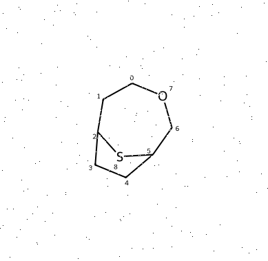 C1CC2CCC(CO1)S2